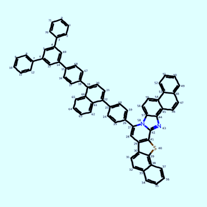 c1ccc(-c2cc(-c3ccccc3)cc(-c3ccc(-c4ccc(-c5ccc(-c6cc7c8ccc9ccccc9c8sc7c7nc8c9ccc%10ccccc%10c9ccc8n67)cc5)c5ccccc45)cc3)c2)cc1